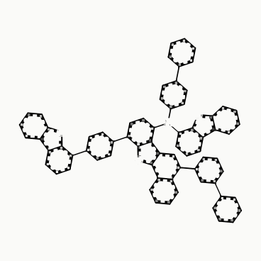 c1ccc(-c2ccc(N(c3cccc4c3oc3ccccc34)c3ccc(-c4ccc(-c5cccc6c5oc5ccccc56)cc4)c4oc5c6ccccc6c(-c6cccc(-c7ccccc7)c6)cc5c34)cc2)cc1